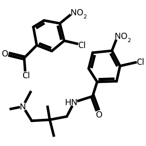 CN(C)CC(C)(C)CNC(=O)c1ccc([N+](=O)[O-])c(Cl)c1.O=C(Cl)c1ccc([N+](=O)[O-])c(Cl)c1